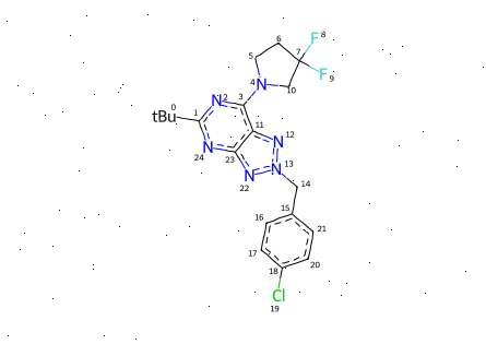 CC(C)(C)c1nc(N2CCC(F)(F)C2)c2nn(Cc3ccc(Cl)cc3)nc2n1